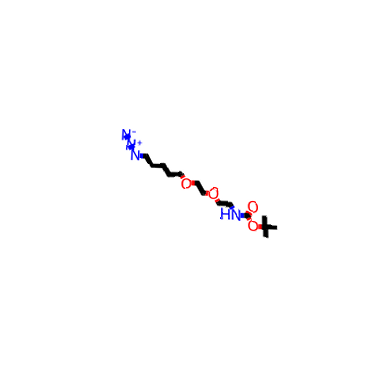 CC(C)(C)OC(=O)NCCOCCOCCCCCN=[N+]=[N-]